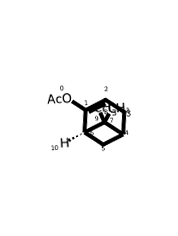 CC(=O)OC1=CCC2C[C@@H]1C2(C)C